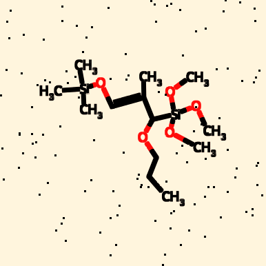 CCCOC(C(C)=CO[Si](C)(C)C)[Si](OC)(OC)OC